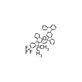 CC1(C)c2cc(C(F)(F)F)ccc2-c2c1c1c(c3ccccc23)OC(c2ccccc2)(c2ccc(-c3ccccc3-c3ccccc3)cc2)C=C1